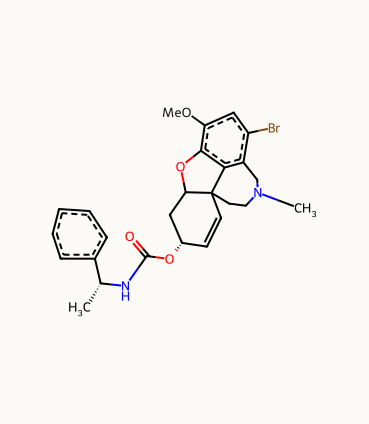 COc1cc(Br)c2c3c1OC1C[C@@H](OC(=O)N[C@H](C)c4ccccc4)C=CC31CCN(C)C2